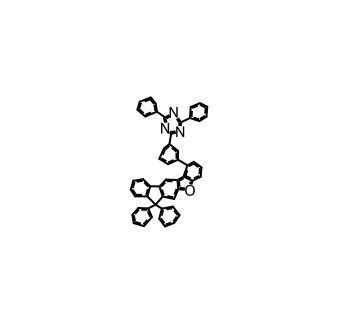 c1ccc(-c2nc(-c3ccccc3)nc(-c3cccc(-c4cccc5oc6cc7c(cc6c45)-c4ccccc4C7(c4ccccc4)c4ccccc4)c3)n2)cc1